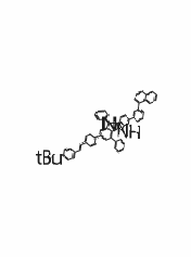 CC(C)(C)c1ccc(/C=C/c2ccc(-c3cc(-c4ccccc4)c4c5[nH]c6cc(-c7cccc(-c8cccc9ccccc89)c7)ccc6c5n(-c5ccccc5)c4c3)cc2)cc1